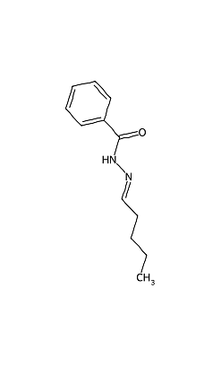 CCCCC=NNC(=O)c1ccccc1